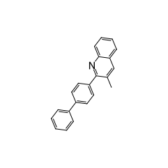 Cc1cc2ccccc2nc1-c1ccc(-c2ccccc2)cc1